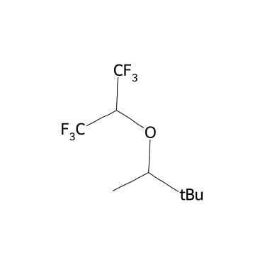 CC(OC(C(F)(F)F)C(F)(F)F)C(C)(C)C